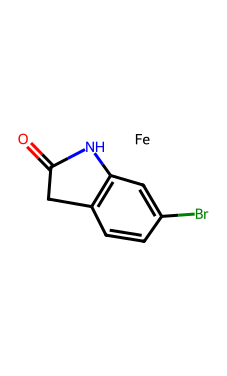 O=C1Cc2ccc(Br)cc2N1.[Fe]